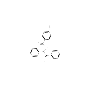 O=C(OC(C(=O)c1ccccc1)c1ccccc1)c1ccc(F)cc1